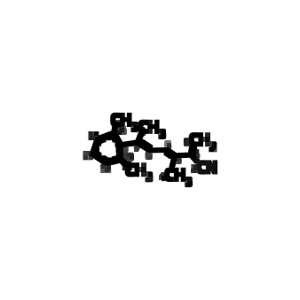 C=C(C#N)/C(C)=C/C=C(\C)c1c(C)cccc1C